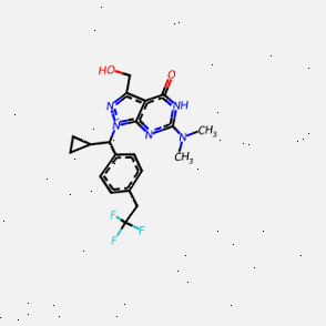 CN(C)c1nc2c(c(CO)nn2C(c2ccc(CC(F)(F)F)cc2)C2CC2)c(=O)[nH]1